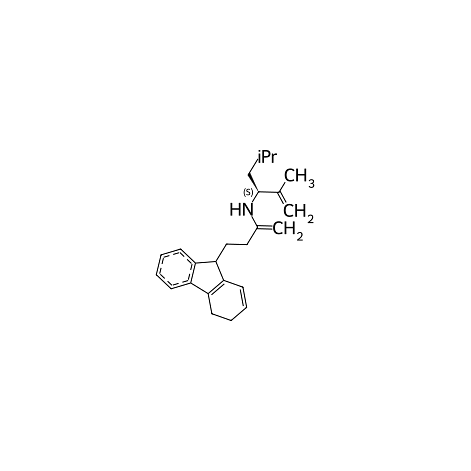 C=C(CCC1C2=C(CCC=C2)c2ccccc21)N[C@@H](CC(C)C)C(=C)C